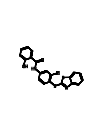 O=C(Nc1ccc(Sc2nc3ccccc3s2)c(Cl)c1)c1ccccc1O